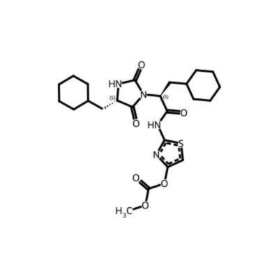 COC(=O)Oc1csc(NC(=O)[C@H](CC2CCCCC2)N2C(=O)N[C@@H](CC3CCCCC3)C2=O)n1